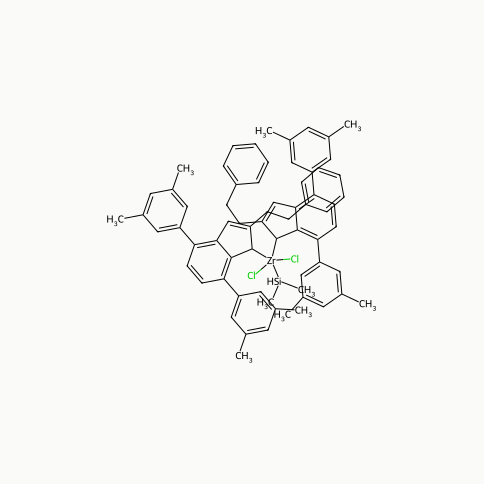 Cc1cc(C)cc(-c2ccc(-c3cc(C)cc(C)c3)c3c2C=C(CCc2ccccc2)[CH]3[Zr]([Cl])([Cl])([CH]2C(CCc3ccccc3)=Cc3c(-c4cc(C)cc(C)c4)ccc(-c4cc(C)cc(C)c4)c32)[SiH](C)C)c1